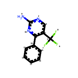 Nc1ncc(C(F)(F)F)c(-c2ccccc2)n1